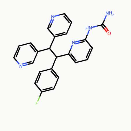 NC(=O)Nc1cccc(C(c2ccc(F)cc2)C(c2cccnc2)c2cccnc2)n1